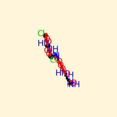 C[C@@H]1NC(=O)N[C@@H]1CCCCCC(=O)NCCOCCOCCOCCn1cc(-c2cc(OCC(=O)N[C@H]3CC[C@H](NC(=O)COc4ccc(Cl)cc4)CC3)ccc2Cl)nn1